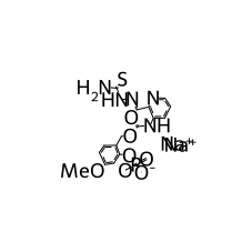 COc1ccc(COC(=O)Nc2cccnc2C=NNC(N)=S)c(OP(=O)([O-])[O-])c1.[Na+].[Na+]